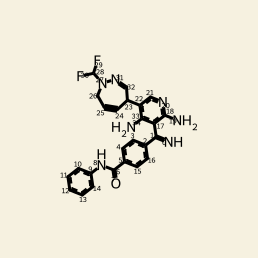 N=C(c1ccc(C(=O)Nc2ccccc2)cc1)c1c(N)ncc(C2C#CCN(C(F)F)N=C2)c1N